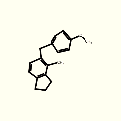 COc1ccc(Cc2ccc3c(c2C)CCC3)cc1